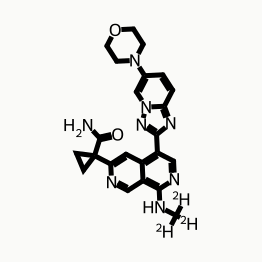 [2H]C([2H])([2H])Nc1ncc(-c2nc3ccc(N4CCOCC4)cn3n2)c2cc(C3(C(N)=O)CC3)ncc12